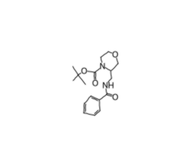 CC(C)(C)OC(=O)N1CCOCC1CNC(=O)c1ccccc1